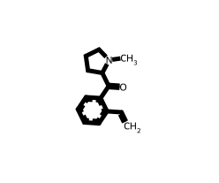 C=Cc1ccccc1C(=O)C1CCCN1C